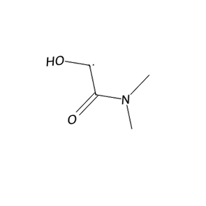 CN(C)C(=O)[CH]O